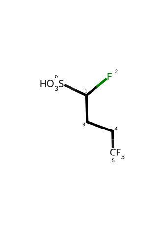 O=S(=O)(O)C(F)CCC(F)(F)F